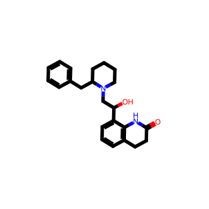 O=C1CCc2cccc(C(O)CN3CCCCC3Cc3ccccc3)c2N1